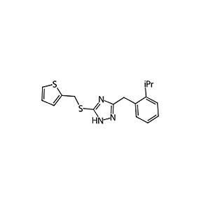 CC(C)c1ccccc1Cc1n[nH]c(SCc2cccs2)n1